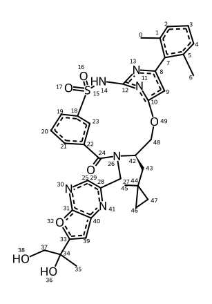 Cc1cccc(C)c1-c1cc2nc(n1)NS(=O)(=O)c1cccc(c1)C(=O)N(Cc1cnc3oc(C(C)(O)CO)cc3n1)[C@H](CC1(C)CC1)CO2